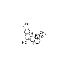 CC(C)Cc1ccc2c(c1)CCN1C[C@H]3CCCN(S(C)(=O)=O)[C@H]3C[C@H]21.Cl